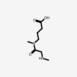 CNCC(=O)N(C)CCCC(=O)O